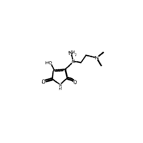 CN(C)CCN(N)C1=C(O)C(=O)NC1=O